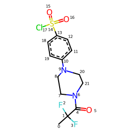 CC(F)(F)C(=O)N1CCN(c2ccc(S(=O)(=O)Cl)cc2)CC1